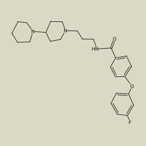 O=C(NCCCN1CCC(N2CCCCC2)CC1)c1ccc(Oc2cccc(F)c2)cc1